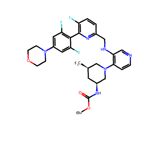 CC(C)(C)OC(=O)N[C@H]1C[C@@H](C(F)(F)F)CN(c2ccncc2NCc2ccc(F)c(-c3c(F)cc(N4CCOCC4)cc3F)n2)C1